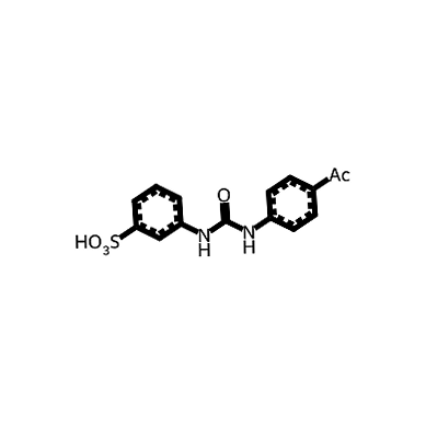 CC(=O)c1ccc(NC(=O)Nc2cccc(S(=O)(=O)O)c2)cc1